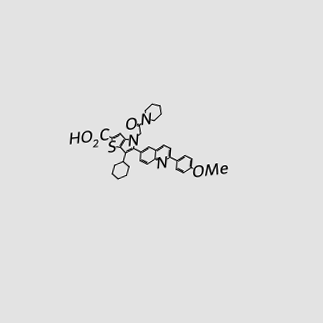 COc1ccc(-c2ccc3cc(-c4c(C5CCCCC5)c5sc(C(=O)O)cc5n4CC(=O)N4CCCCC4)ccc3n2)cc1